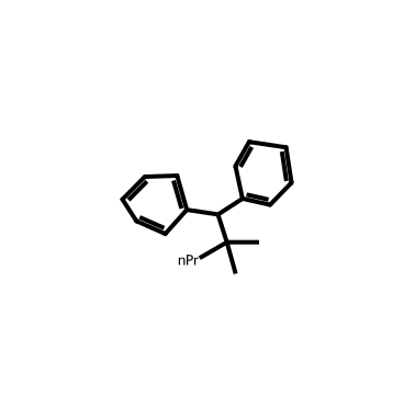 CCCC(C)(C)C(c1ccccc1)c1ccccc1